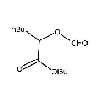 CCCCC(O[C]=O)C(=O)OCC(C)C